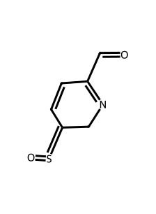 O=CC1=NCC(=S=O)C=C1